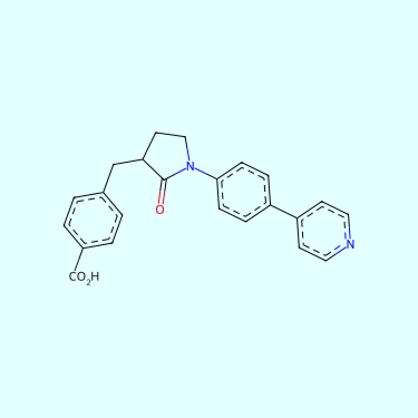 O=C(O)c1ccc(CC2CCN(c3ccc(-c4ccncc4)cc3)C2=O)cc1